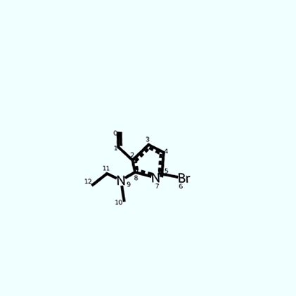 C=Cc1ccc(Br)nc1N(C)CC